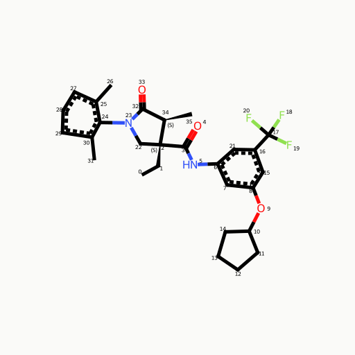 CC[C@@]1(C(=O)Nc2cc(OC3CCCC3)cc(C(F)(F)F)c2)CN(c2c(C)cccc2C)C(=O)[C@H]1C